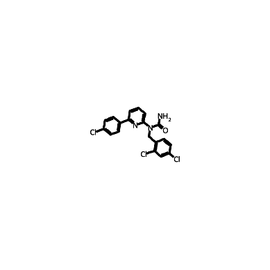 NC(=O)N(Cc1ccc(Cl)cc1Cl)c1cccc(-c2ccc(Cl)cc2)n1